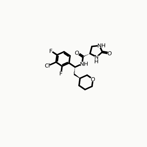 O=C1NC[C@@H](C(=O)N[C@H](C[C@@H]2CCCOC2)c2ccc(F)c(Cl)c2F)N1